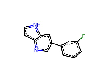 Fc1cccc(-c2cnc3cc[nH]c3c2)c1